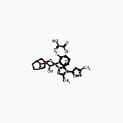 Cc1cc(-n2c(C)nn(CC(O)CN3C4CCC3CC(OCc3ccccc3F)C4)c2=O)on1.O=C(O)C(=O)O